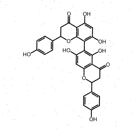 O=C1CC(c2ccc(O)cc2)Oc2cc(O)c(-c3c(O)cc(O)c4c3OC(c3ccc(O)cc3)CC4=O)c(O)c21